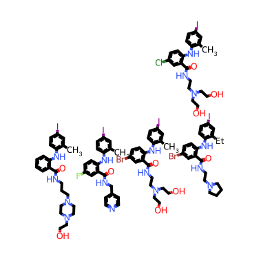 CCc1cc(I)ccc1Nc1ccc(Br)cc1C(=O)NCCN1CCCC1.Cc1cc(I)ccc1Nc1ccc(Br)cc1C(=O)NCCN(CCO)CCO.Cc1cc(I)ccc1Nc1ccc(Cl)cc1C(=O)NCCN(CCO)CCO.Cc1cc(I)ccc1Nc1ccc(F)cc1C(=O)NCc1ccncc1.Cc1cc(I)ccc1Nc1ccccc1C(=O)NCCCN1CCN(CCO)CC1